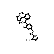 CN1C=CSC1NSc1ccc(C(O)c2ccccc2-c2ccnn2C)c(F)c1